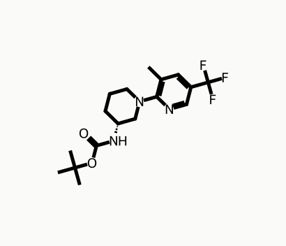 Cc1cc(C(F)(F)F)cnc1N1CCC[C@@H](NC(=O)OC(C)(C)C)C1